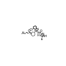 C#Cc1cc(C(=O)Nc2nc3cccc(Cl)c3n2[C@@H]2CCCCN(C(=O)/C=C/CN(C)C)C2)n[nH]1